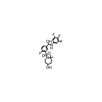 CC1(C)CCC(O)CCN1S(=O)(=O)c1cc(C(O)Nc2cc(F)c(F)c(F)c2)ccc1F